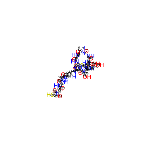 CCC(C)C1NC(=O)CNC(=O)C2Cc3c([nH]c4ccccc34)SCC(NC(=O)CNC1=O)C(=O)NC(CC(=O)NCc1ccc(NC(=O)C(C)NC(=O)CNC(=O)CCN3C(=O)CC(S)C3=O)cc1)C(=O)N1CC(O)CC1CNC(C(C)C(O)CO)C(=O)N2